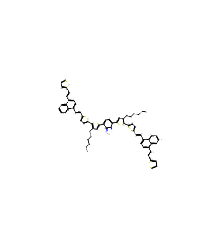 CCCCCCc1cc(-c2ccc(-c3cc(CCCCCC)c(-c4ccc(/C=C/c5ccc(/C=C/c6cccs6)c6ccccc56)s4)s3)c3nsnc23)sc1-c1ccc(/C=C/c2ccc(/C=C/c3cccs3)c3ccccc23)s1